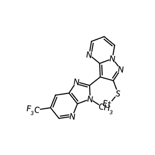 CCSc1nn2cccnc2c1-c1nc2cc(C(F)(F)F)cnc2n1C